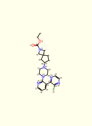 CCOC(=O)N1CC2(CC[C@@H](N3CCN(c4ncccc4-c4nccnc4F)CC3)C2)C1